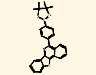 CC1(C)OB(c2ccc(-c3nc4c5ccccc5oc4c4ccccc34)cc2)OC1(C)C